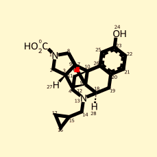 O=C(O)N1C[C@H]2C[C@@]34CCC1C2[C@@]31CCN(CC2CC2)[C@@H]4Cc2ccc(O)cc21